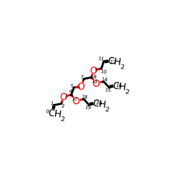 C=CCOC(COCC(OCC=C)OCC=C)OCC=C